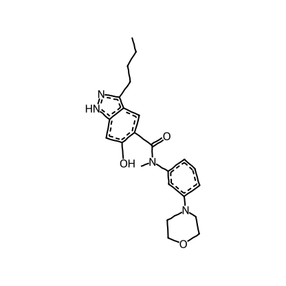 CCCCc1n[nH]c2cc(O)c(C(=O)N(C)c3cccc(N4CCOCC4)c3)cc12